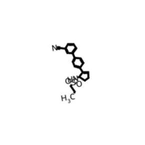 CCCS(=O)(=O)NC1CCC=C1c1ccc(-c2cccc(C#N)c2)cc1